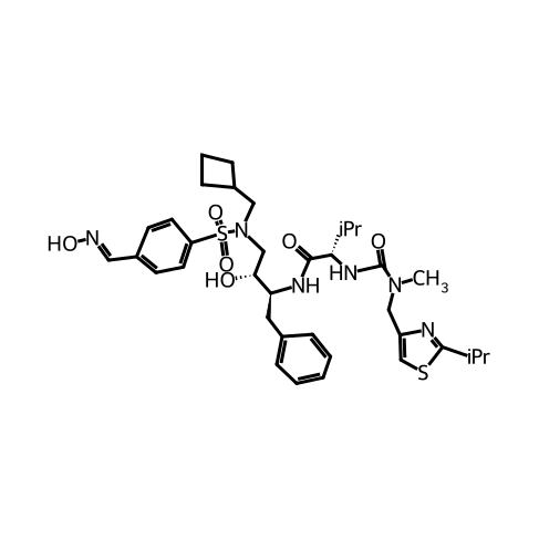 CC(C)c1nc(CN(C)C(=O)N[C@H](C(=O)N[C@@H](Cc2ccccc2)[C@H](O)CN(CC2CCC2)S(=O)(=O)c2ccc(C=NO)cc2)C(C)C)cs1